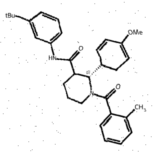 COC1=CCC([C@H]2C(C(=O)Nc3cccc(C(C)(C)C)c3)CCCN2C(=O)c2ccccc2C)C=C1